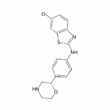 Clc1ccc2nc(Nc3ccc(C4CNCCO4)cc3)sc2c1